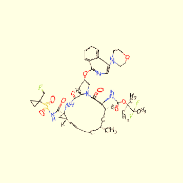 CC[C@@H]1C[C@H](C)CC/C=C\[C@@H]2C[C@@]2(C(=O)NS(=O)(=O)C2(CF)CC2)NC(=O)[C@@H]2C[C@@H](Oc3ncc(N4CCOCC4)c4ccccc34)CN2C(=O)[C@H]1NC(=O)OC(C)(C)C(C)(F)F